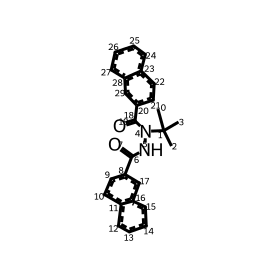 CC(C)(C)N(NC(=O)c1ccc2ccccc2c1)C(=O)c1ccc2ccccc2c1